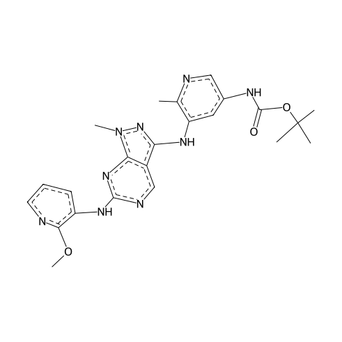 COc1ncccc1Nc1ncc2c(Nc3cc(NC(=O)OC(C)(C)C)cnc3C)nn(C)c2n1